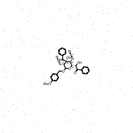 COc1ccc(COC2O[C@@H](C(O)C(=O)c3ccccc3)[C@H](N=[N+]=[N-])[C@](O)(C(=O)c3ccccc3)[C@H]2N=[N+]=[N-])cc1